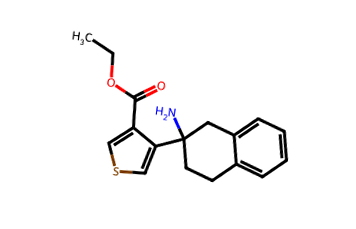 CCOC(=O)c1cscc1C1(N)CCc2ccccc2C1